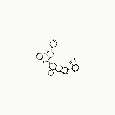 COc1ccccc1-c1cc(=O)n(CC2CCN(C(=O)N3CC[C@@H](N4CCOCC4)C[C@H]3c3ccccc3)CC23CCCC3)cn1